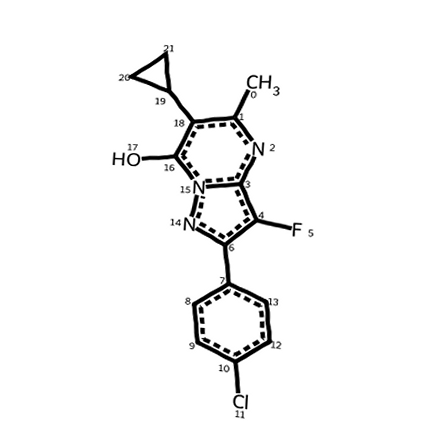 Cc1nc2c(F)c(-c3ccc(Cl)cc3)nn2c(O)c1C1CC1